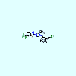 C=C/C(=C\C(C)=C/CCCl)CN1CCN(c2nc3ccc(C(F)(F)F)cc3s2)CC1C